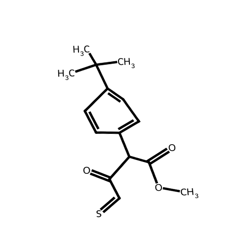 COC(=O)C(C(=O)C=S)c1ccc(C(C)(C)C)cc1